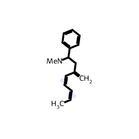 C=C(/C=C\C=C/C)CC(NC)c1ccccc1